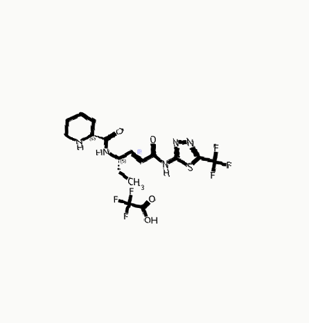 CC[C@@H](/C=C/C(=O)Nc1nnc(C(F)(F)F)s1)NC(=O)[C@@H]1CCCCN1.O=C(O)C(F)(F)F